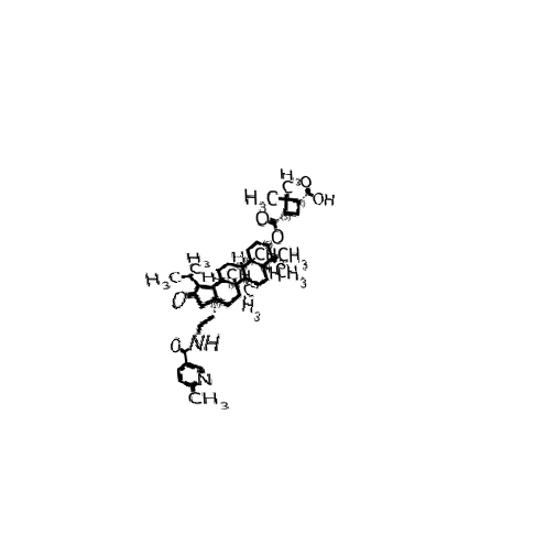 Cc1ccc(C(=O)NCC[C@@]23CC[C@]4(C)[C@H](CC[C@@H]5[C@@]6(C)CC[C@H](OC(=O)[C@H]7C[C@@H](C(=O)O)C7(C)C)C(C)(C)[C@@H]6CC[C@]54C)C2=C(C(C)C)C(=O)C3)cn1